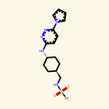 CCS(=O)(=O)NC[C@H]1CC[C@H](Nc2ccc(-n3cccc3)nn2)CC1